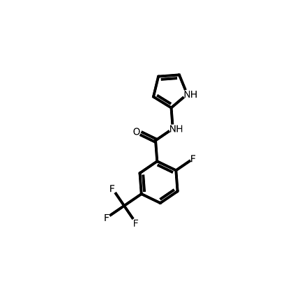 O=C(Nc1ccc[nH]1)c1cc(C(F)(F)F)ccc1F